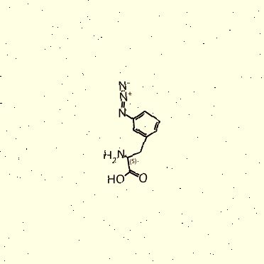 [N-]=[N+]=Nc1cccc(C[C@H](N)C(=O)O)c1